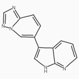 c1cnc2[nH]cc(-c3ccc4ncnn4c3)c2c1